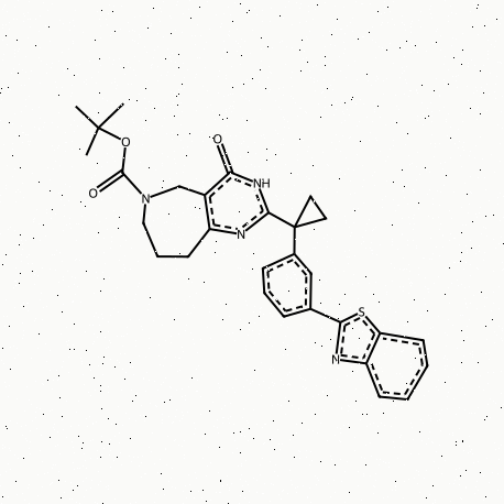 CC(C)(C)OC(=O)N1CCCc2nc(C3(c4cccc(-c5nc6ccccc6s5)c4)CC3)[nH]c(=O)c2C1